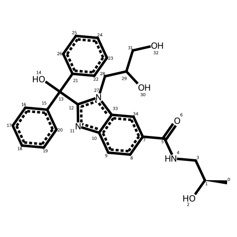 C[C@@H](O)CNC(=O)c1ccc2nc(C(O)(c3ccccc3)c3ccccc3)n(CC(O)CO)c2c1